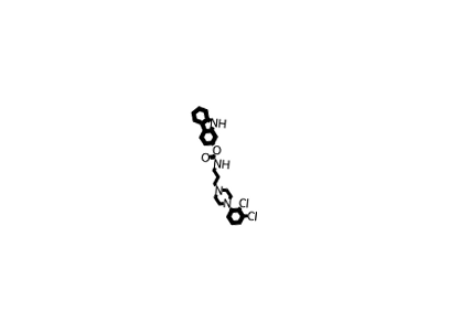 O=C(NCCCN1CCN(c2cccc(Cl)c2Cl)CC1)Oc1ccc2c(c1)[nH]c1ccccc12